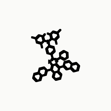 Cc1cc(C)c(B(c2ccc(-c3nc4c(-c5ccc6ccccc6c5)c5ccccc5c(-c5ccc6ccccc6c5)c4n3-c3ccccc3)cc2)c2c(C)cc(C)cc2C)c(C)c1